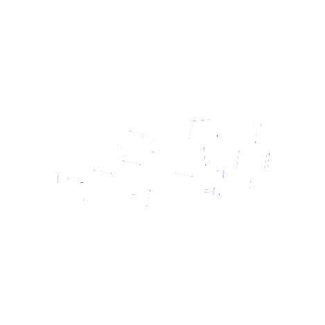 COc1ccc(F)c(-n2ncc(COc3cccc(C(CC(=O)O)SC4CC4)c3)c2C2=CCCC2(C)C)c1